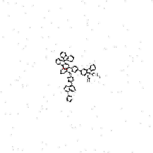 CC1(C)c2ccccc2-c2cc(-c3ccc(-c4ccc5c(c4)C(c4ccccc4)(c4ccccc4)c4ccccc4-5)c(N(c4ccccc4)c4ccc(-c5cccc6c(-c7ccccc7)cccc56)cc4)c3)ccc21